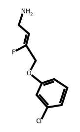 NC/C=C(\F)COc1cccc(Cl)c1